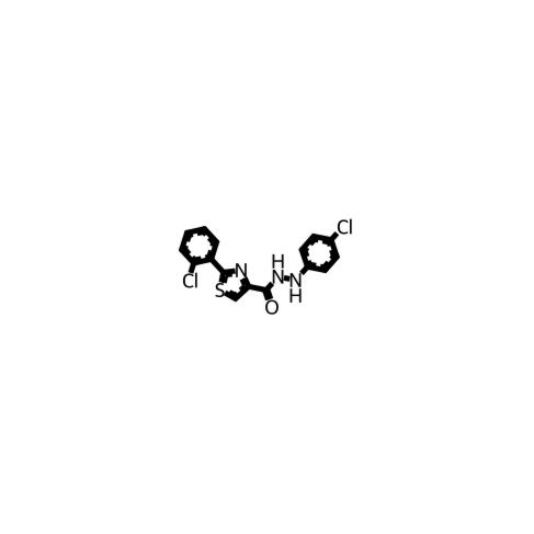 O=C(NNc1ccc(Cl)cc1)c1csc(-c2ccccc2Cl)n1